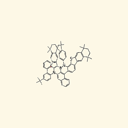 CC(C)(C)c1ccc(N2B3c4c(cc5ccccc5c4-c4ccc5c(sc6cc7c(cc65)C(C)(C)CCC7(C)C)c42)N(c2ccc(C(C)(C)C)cc2-c2ccccc2)c2sc4cc5c(cc4c23)C(C)(C)CCC5(C)C)cc1